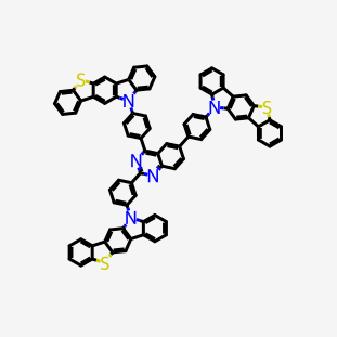 c1cc(-c2nc(-c3ccc(-n4c5ccccc5c5cc6sc7ccccc7c6cc54)cc3)c3cc(-c4ccc(-n5c6ccccc6c6cc7sc8ccccc8c7cc65)cc4)ccc3n2)cc(-n2c3ccccc3c3cc4sc5ccccc5c4cc32)c1